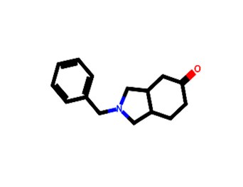 O=C1CCC2CN(Cc3ccccc3)CC2C1